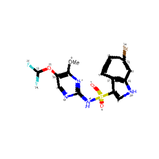 COc1nc(NS(=O)(=O)c2c[nH]c3cc(Br)ccc23)ncc1OC(F)F